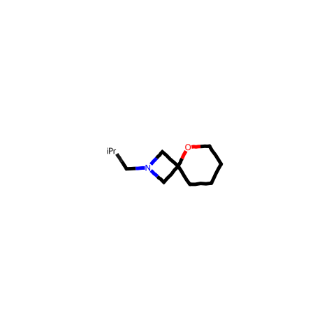 CC(C)CN1CC2(CCCCO2)C1